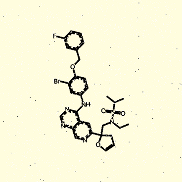 CCN(CC1(c2cc3c(Nc4ccc(OCc5cccc(F)c5)c(Br)c4)ncnc3cn2)CC=CO1)S(=O)(=O)C(C)C